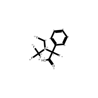 O=C(O)C(F)(c1ccccc1)N(CF)C(F)(F)F